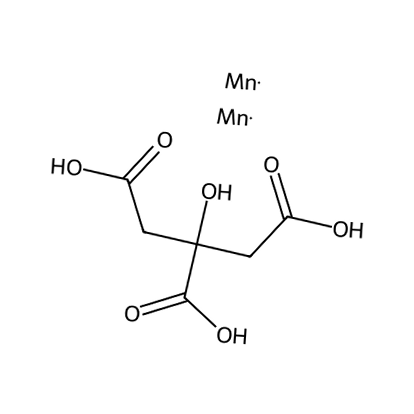 O=C(O)CC(O)(CC(=O)O)C(=O)O.[Mn].[Mn]